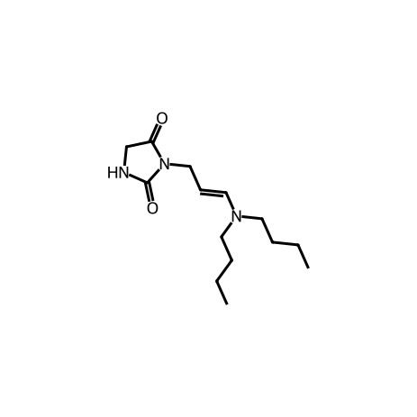 CCCCN(C=CCN1C(=O)CNC1=O)CCCC